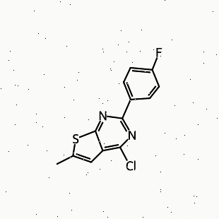 Cc1cc2c(Cl)nc(-c3ccc(F)cc3)nc2s1